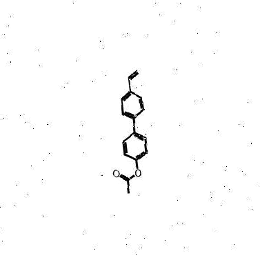 C=Cc1ccc(-c2ccc(OC(C)=O)cc2)cc1